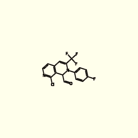 O=CC1c2c(ccnc2Cl)C=C(C(F)(F)F)N1c1ccc(F)cc1